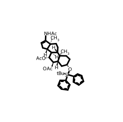 CC(=O)NC1=CC[C@H]2[C@@H]3[C@@H](OC(C)=O)[C@H](OC(C)=O)[C@H]4C[C@@H](O[Si](c5ccccc5)(c5ccccc5)C(C)(C)C)CC[C@]4(C)[C@H]3CC[C@]12C